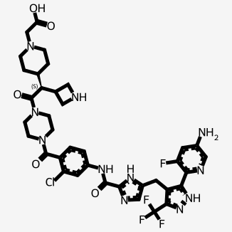 Nc1cnc(-c2[nH]nc(C(F)(F)F)c2Cc2cnc(C(=O)Nc3ccc(C(=O)N4CCN(C(=O)[C@@H](C5CCN(CC(=O)O)CC5)C5CNC5)CC4)c(Cl)c3)[nH]2)c(F)c1